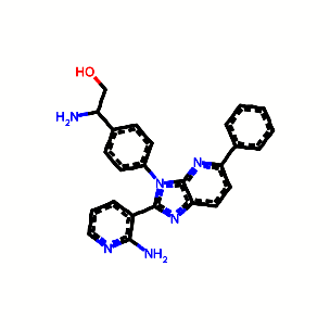 Nc1ncccc1-c1nc2ccc(-c3ccccc3)nc2n1-c1ccc(C(N)CO)cc1